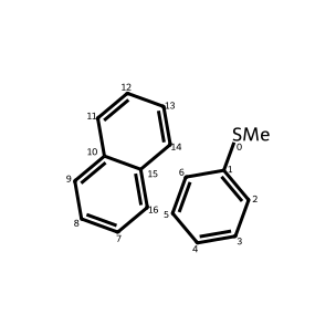 CSc1ccccc1.c1ccc2ccccc2c1